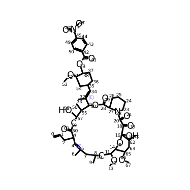 C=CCC1/C=C(/C)CC(C)CC(OC)C2OC(O)(C(=O)C(=O)N3CCCCC3C(=O)OC(/C(C)=C/C3CCC(OC(=O)c4ccc([N+](=O)[O-])cc4)C(OC)C3)C(C)C(O)CC1=O)C(C)CC2OC